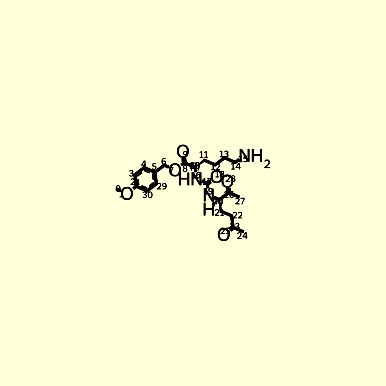 COc1ccc(COC(=O)[C@@H](CCCCN)NC(=O)N[C@H](CCC(C)=O)C(C)=O)cc1